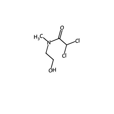 CN(CCO)C(=O)C(Cl)Cl